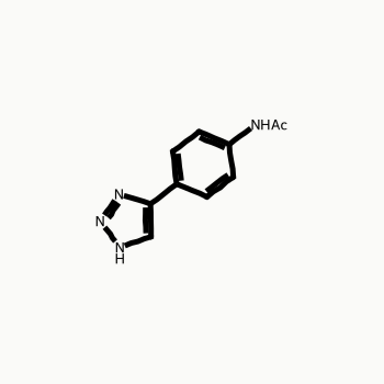 CC(=O)Nc1ccc(-c2c[nH]nn2)cc1